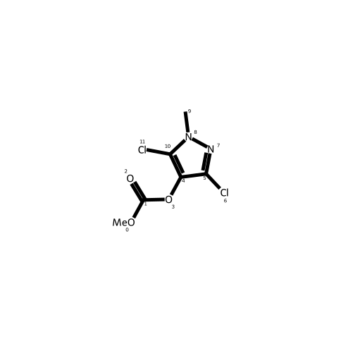 COC(=O)Oc1c(Cl)nn(C)c1Cl